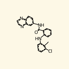 Cc1c(Cl)cccc1Nc1ccccc1C(=O)Nc1ccc2nccnc2c1